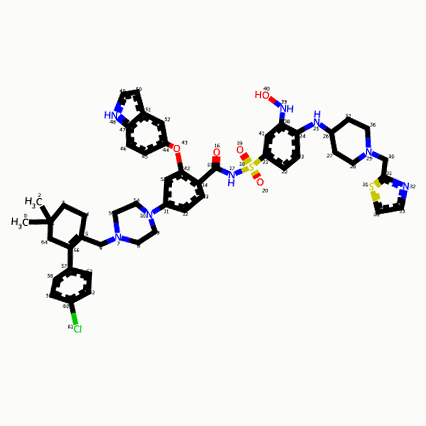 CC1(C)CCC(CN2CCN(c3ccc(C(=O)NS(=O)(=O)c4ccc(NC5CCN(Cc6nccs6)CC5)c(NO)c4)c(Oc4ccc5[nH]ccc5c4)c3)CC2)=C(c2ccc(Cl)cc2)C1